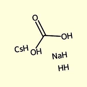 O=C(O)O.[CsH].[HH].[NaH]